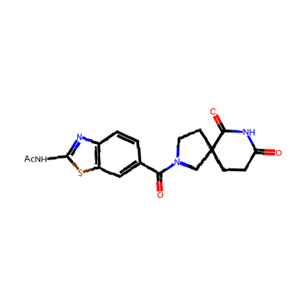 CC(=O)Nc1nc2ccc(C(=O)N3CCC4(CCC(=O)NC4=O)C3)cc2s1